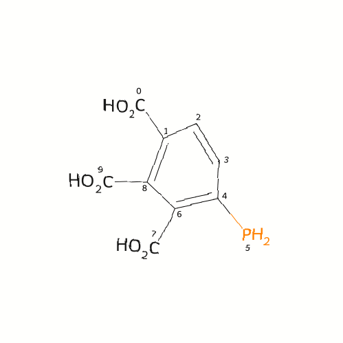 O=C(O)c1ccc(P)c(C(=O)O)c1C(=O)O